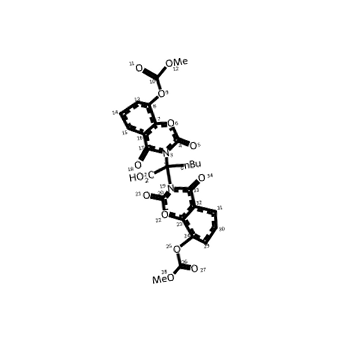 CCCCC(C(=O)O)(n1c(=O)oc2c(OC(=O)OC)cccc2c1=O)n1c(=O)oc2c(OC(=O)OC)cccc2c1=O